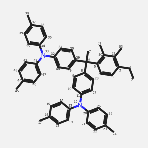 CCc1ccc(C(C)(c2ccc(N(c3ccc(C)cc3)c3ccc(C)cc3)cc2)c2ccc(N(c3ccc(C)cc3)c3ccc(C)cc3)cc2)c(C)c1C